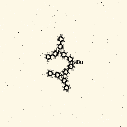 CCC(C)n1c2ccc(-c3ccc(N(c4ccc(-c5ccccc5)cc4)c4ccc(-c5ccccc5)cc4)cc3)cc2c2cc(-c3ccc(N(c4ccc(-c5ccccc5)cc4)c4ccc(-c5ccccc5)cc4)cc3)ccc21